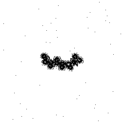 C1=CC2=C(c3cnc4c5ccccc5c5ccccc5c4n3)C=CC(c3ccc(-c4ccc(-c5ccc(-c6cccc7c6oc6ccccc67)c6ccccc56)c5ccccc45)c4ccccc34)=CC2C=C1